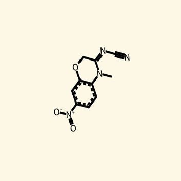 CN1C(=NC#N)COc2cc([N+](=O)[O-])ccc21